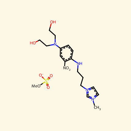 COS(=O)(=O)[O-].C[n+]1ccn(CCCNc2ccc(N(CCO)CCO)cc2[N+](=O)[O-])c1